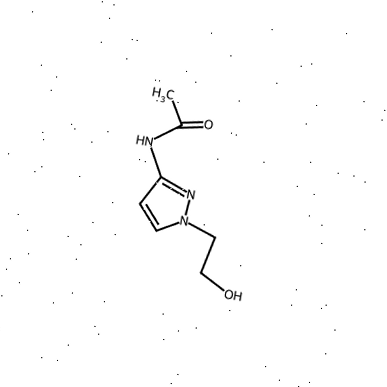 CC(=O)Nc1ccn(CCO)n1